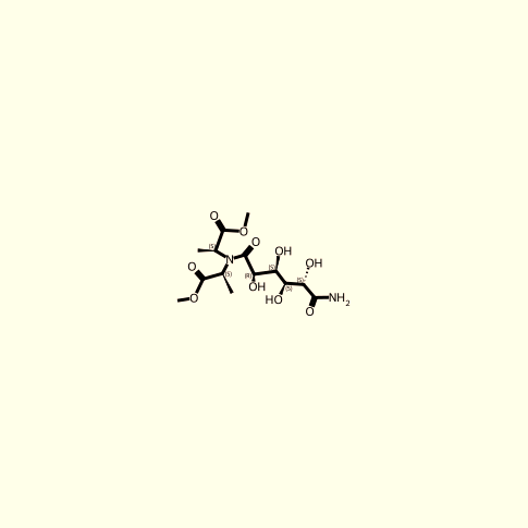 COC(=O)[C@H](C)N(C(=O)[C@H](O)[C@@H](O)[C@H](O)[C@H](O)C(N)=O)[C@@H](C)C(=O)OC